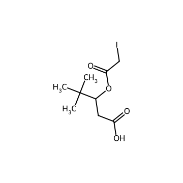 CC(C)(C)C(CC(=O)O)OC(=O)CI